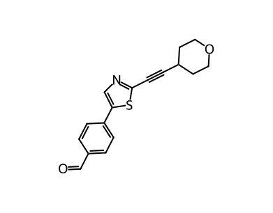 O=Cc1ccc(-c2cnc(C#CC3CCOCC3)s2)cc1